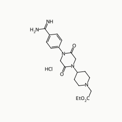 CCOC(=O)CN1CCC(N2CC(=O)N(c3ccc(C(=N)N)cc3)CC2=O)CC1.Cl